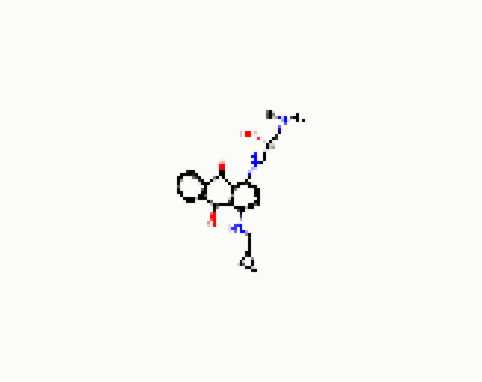 CCN(CC)C[C@@H](O)CNc1ccc(NCC2CC2)c2c1C(=O)c1ccccc1C2=O